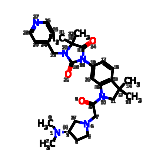 CN(C)[C@H]1CCN(CC(=O)N2CC(C)(C)c3ccc(N4C(=O)N(Cc5ccncc5)C(C)(C)C4=O)cc32)C1